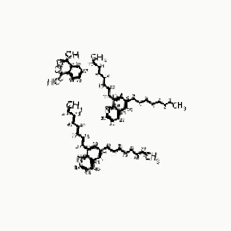 CCCCCCCCc1cc(CCCCCCCC)c2ncccc2c1.CCCCCCCCc1cc(CCCCCCCC)c2ncccc2c1.O=C(O)c1ccccc1C(=O)O